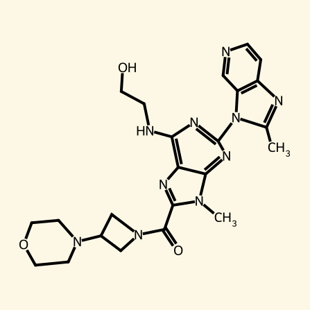 Cc1nc2ccncc2n1-c1nc(NCCO)c2nc(C(=O)N3CC(N4CCOCC4)C3)n(C)c2n1